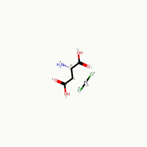 N[C@@H](CC(=O)O)C(=O)O.[Cl][Pt][Cl]